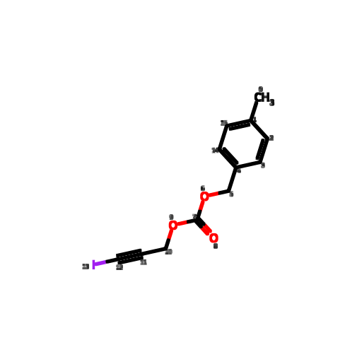 Cc1ccc(COC(=O)OCC#CI)cc1